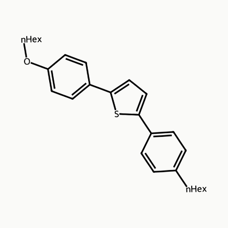 CCCCCCOc1ccc(-c2ccc(-c3ccc(CCCCCC)cc3)s2)cc1